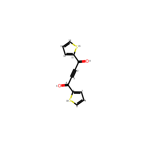 O=C(C#CC(=O)c1cccs1)c1cccs1